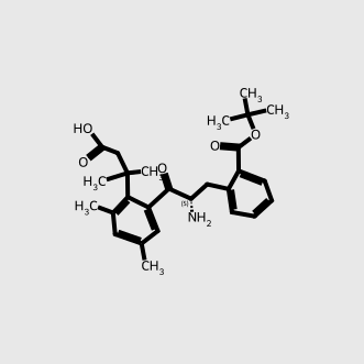 Cc1cc(C)c(C(C)(C)CC(=O)O)c(C(=O)[C@@H](N)Cc2ccccc2C(=O)OC(C)(C)C)c1